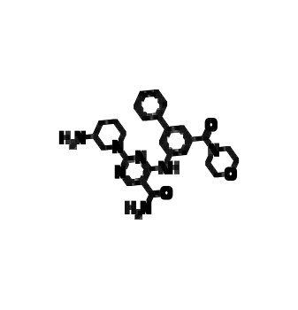 NC(=O)c1cnc(N2CCCC(N)C2)nc1Nc1cc(C(=O)N2CCOCC2)cc(-c2ccccc2)c1